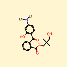 CCN(CC)c1ccc(C(=O)c2ccccc2C(=O)OCC(C)(C)CO)c(O)c1